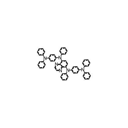 c1ccc(N(c2ccccc2)c2ccc(N(c3ccccc3)c3ccc(N(c4ccccc4)c4ccc(N(c5ccccc5)c5ccccc5)cc4)c4nccnc34)cc2)cc1